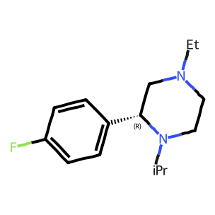 CCN1CCN(C(C)C)[C@H](c2ccc(F)cc2)C1